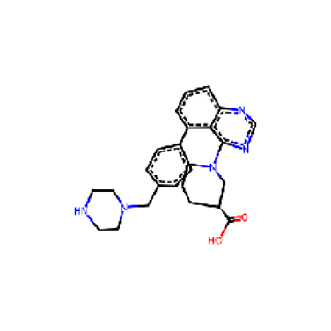 O=C(O)[C@H]1CCCN(c2ncnc3cccc(-c4ccc(CN5CCNCC5)cc4)c23)C1